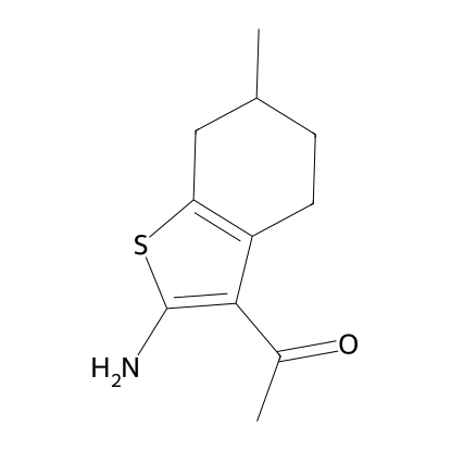 CC(=O)c1c(N)sc2c1CCC(C)C2